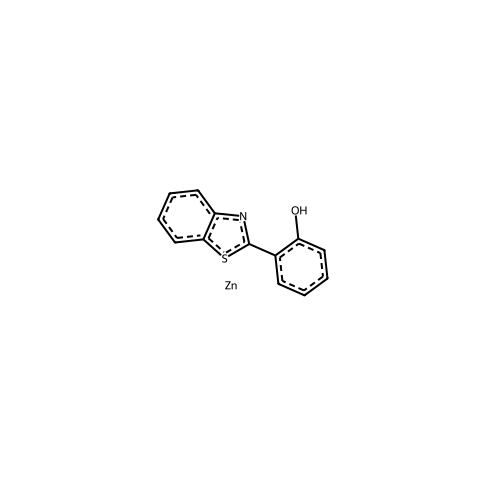 Oc1ccccc1-c1nc2ccccc2s1.[Zn]